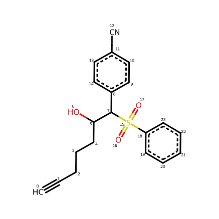 C#CCCCC(O)C(c1ccc(C#N)cc1)S(=O)(=O)c1ccccc1